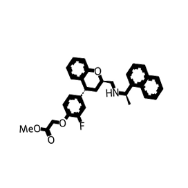 COC(=O)COc1ccc([C@H]2C[C@H](CN[C@H](C)c3cccc4ccccc34)Oc3ccccc32)cc1F